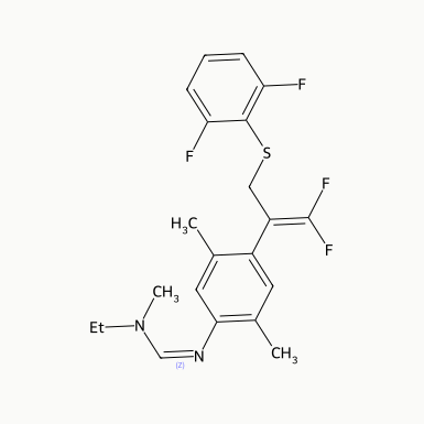 CCN(C)/C=N\c1cc(C)c(C(CSc2c(F)cccc2F)=C(F)F)cc1C